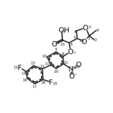 CC1(C)OCC(C(Oc2ccc(-c3cc(F)ccc3F)cc2[N+](=O)[O-])C(=O)O)O1